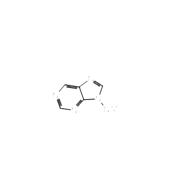 CNn1cnc2cncnc21